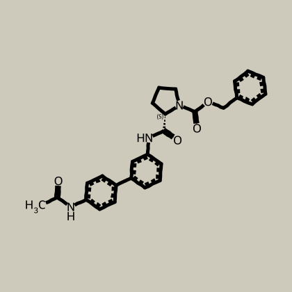 CC(=O)Nc1ccc(-c2cccc(NC(=O)[C@@H]3CCCN3C(=O)OCc3ccccc3)c2)cc1